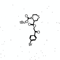 CC(C)(C)OC(=O)N1CCSCC1C(=O)OCC(=O)c1ccc(Br)cc1